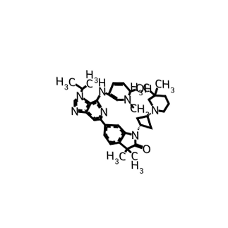 CC(C)n1cnc2cc(-c3ccc4c(c3)N([C@H]3C[C@@H](N5CCCC(C)(C)C5)C3)C(=O)C4(C)C)nc(NC3=CN(C)C(O)C=C3)c21